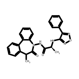 CC1C(=O)N(NC(=O)[C@H](C)Nc2nonc2-c2ccccc2)c2ccccc2-c2ccccc21